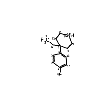 Fc1ccc(C2(CC(F)(F)F)CCNCC2)cc1